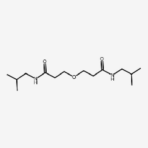 CC(C)CNC(=O)CCOCCC(=O)NCC(C)C